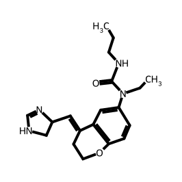 CCCNC(=O)N(CC)c1ccc2c(c1)/C(=C/C1CNC=N1)CCO2